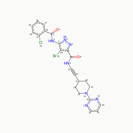 O=C(Nc1[nH]nc(C(=O)NC#CC2CCN(c3ncccn3)CC2)c1Br)c1ccccc1Cl